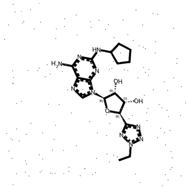 CCn1nnc([C@H]2O[C@@H](n3cnc4c(N)nc(NC5CCCC5)nc43)[C@H](O)[C@@H]2O)n1